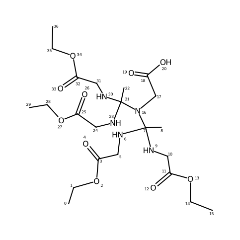 CCOC(=O)CNC(C)(NCC(=O)OCC)N(CC(=O)O)C(C)(NCC(=O)OCC)NCC(=O)OCC